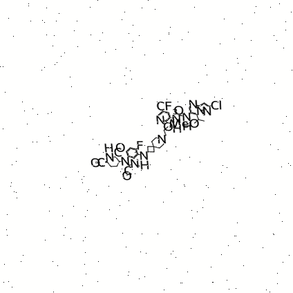 COC(C)c1c(NC(=O)Nc2cc(C(F)(F)F)cnc2OCCN2CCC3(CC2)CC(Nc2c(F)ccc4c2N(C)C(=C=O)N4C2CCC(=C=O)NC2=C=O)C3)cnc2cc(Cl)nn12